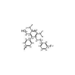 CC(C)c1nc(C(C)C)c(CSc2cccc(F)c2)c(-c2ccc(F)cc2)c1CO